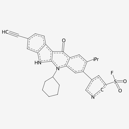 C#Cc1ccc2c(c1)[nH]c1c2c(=O)c2cc(C(C)C)c(-c3cncc(S(=O)(=O)F)c3)cc2n1C1CCCCC1